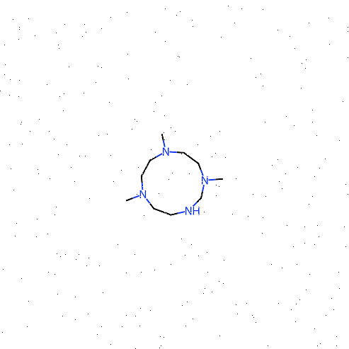 CN1CCNCN(C)CCN(C)CC1